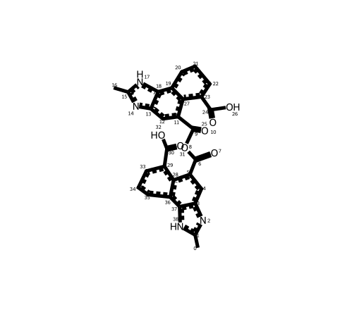 Cc1nc2cc(C(=O)OC(=O)c3cc4nc(C)[nH]c4c4cccc(C(=O)O)c34)c3c(C(=O)O)cccc3c2[nH]1